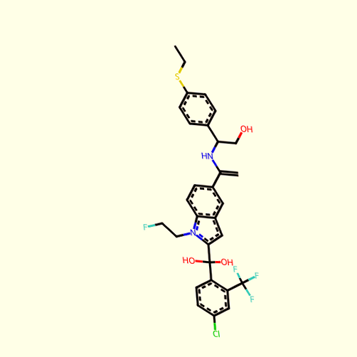 C=C(NC(CO)c1ccc(SCC)cc1)c1ccc2c(c1)cc(C(O)(O)c1ccc(Cl)cc1C(F)(F)F)n2CCF